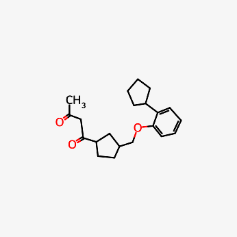 CC(=O)CC(=O)C1CCC(COc2ccccc2C2CCCC2)C1